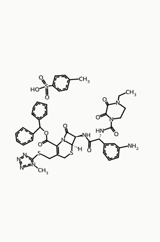 CCN1CCN(C(=O)N[C@@H](C(=O)N[C@@H]2C(=O)N3C(C(=O)OC(c4ccccc4)c4ccccc4)=C(CSc4nnnn4C)CS[C@H]23)c2cccc(N)c2)C(=O)C1=O.Cc1ccc(S(=O)(=O)O)cc1